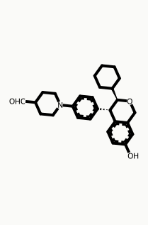 O=CC1CCN(c2ccc([C@H]3c4ccc(O)cc4CO[C@@H]3C3CCCCC3)cc2)CC1